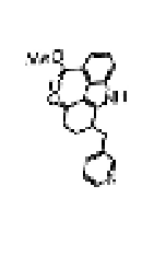 COC(=O)c1cccc2[nH]c3c(c12)C(=O)CCC3Cc1cccnc1